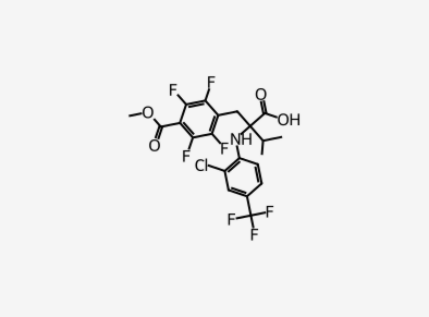 COC(=O)c1c(F)c(F)c(CC(Nc2ccc(C(F)(F)F)cc2Cl)(C(=O)O)C(C)C)c(F)c1F